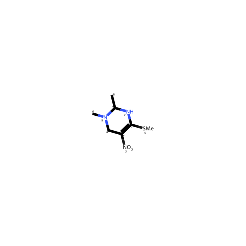 CSC1=C([N+](=O)[O-])CN(C)C(C)N1